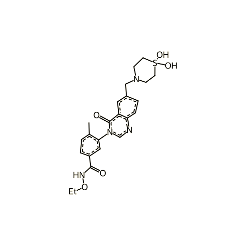 CCONC(=O)c1ccc(C)c(-n2cnc3ccc(CN4CCS(O)(O)CC4)cc3c2=O)c1